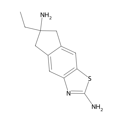 CCC1(N)Cc2cc3nc(N)sc3cc2C1